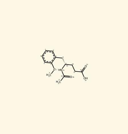 COc1ccccc1C[C@H](CCC(=O)O)NC(C)=O